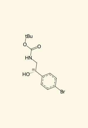 CC(C)(C)OC(=O)NC[C@@H](O)c1ccc(Br)cc1